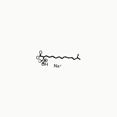 CC(C)CCCCCCCCCCC(C(=O)[O-])S(=O)(=O)O.[Na+]